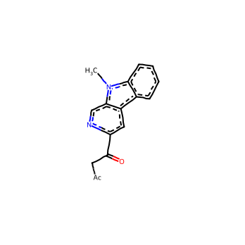 CC(=O)CC(=O)c1cc2c3ccccc3n(C)c2cn1